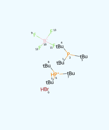 Br.CC(C)(C)P(C(C)(C)C)C(C)(C)C.CC(C)(C)[PH+](C(C)(C)C)C(C)(C)C.F[B-](F)(F)F